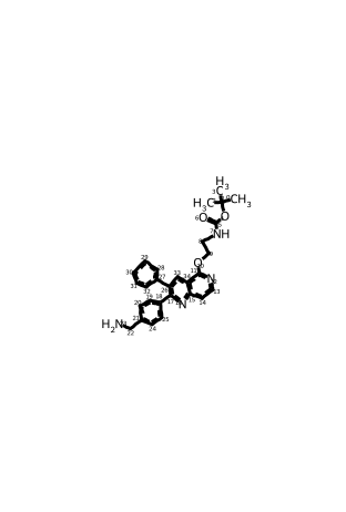 CC(C)(C)OC(=O)NCCOc1nccc2nc(-c3ccc(CN)cc3)c(-c3ccccc3)cc12